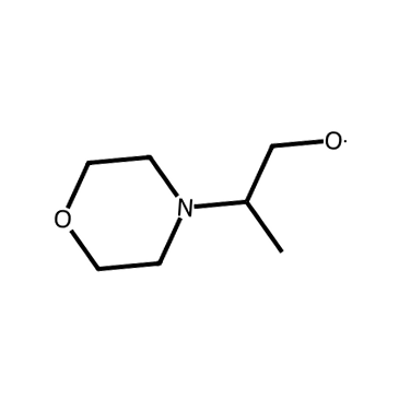 CC(C[O])N1CCOCC1